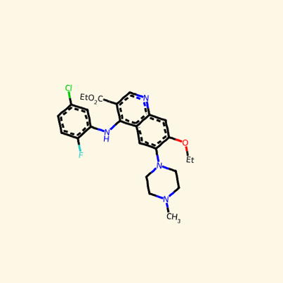 CCOC(=O)c1cnc2cc(OCC)c(N3CCN(C)CC3)cc2c1Nc1cc(Cl)ccc1F